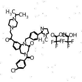 CC(C)N1CCN(CCC(=O)c2ccc3c(c2)N(Cc2ccc(C4=NCCN4C)cc2)C(=O)CN(C(=O)c2ccc(Cl)cc2)C3)CC1.O=C(O)C(F)(F)F.O=C(O)C(F)(F)F